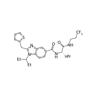 CCC[C@H](NC(=O)c1ccc2c(c1)nc(Cc1cccs1)n2C(CC)CC)C(=O)NCCC(F)(F)F